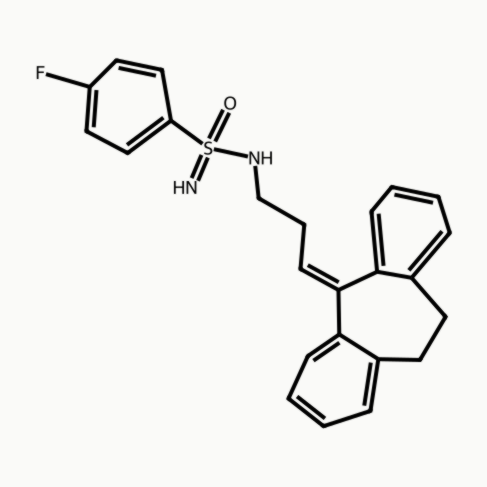 N=S(=O)(NCCC=C1c2ccccc2CCc2ccccc21)c1ccc(F)cc1